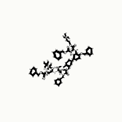 CN[C@@H](C[C@H](CNC(=O)OCc1ccccc1)O[Si](C)(C)C(C)(C)C)C(=O)N[C@@H](Cc1cc(-c2ccc(OCc3ccccc3)c(C[C@H](NC(=O)OCc3ccccc3)C(=O)OCC[Si](C)(C)C)c2)ccc1C)C(=O)OCc1ccccc1